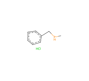 CPCc1ccccc1.Cl